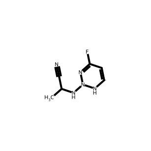 CC(C#N)NN1N=C(F)C=[C]N1